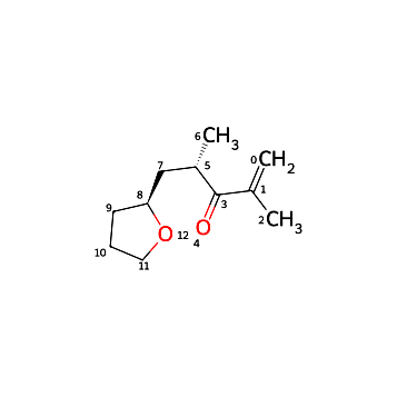 C=C(C)C(=O)[C@@H](C)C[C@@H]1CCCO1